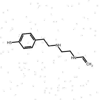 C=CNCCNCCc1ccc(S)cc1